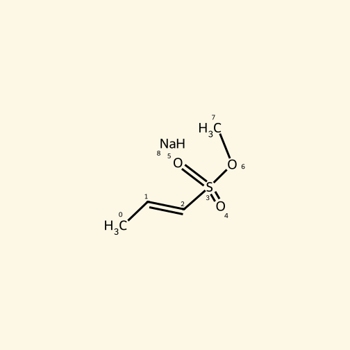 CC=CS(=O)(=O)OC.[NaH]